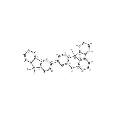 CC1(C)c2ccccc2-c2cc(-c3ccc4c(c3)Oc3ccccc3C4(C)c3ccccc3)ccc21